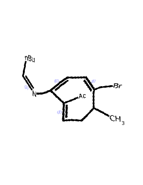 CCCC\C=N/C1=C/C=C(/Br)C(C)C\C=C\1C(C)=O